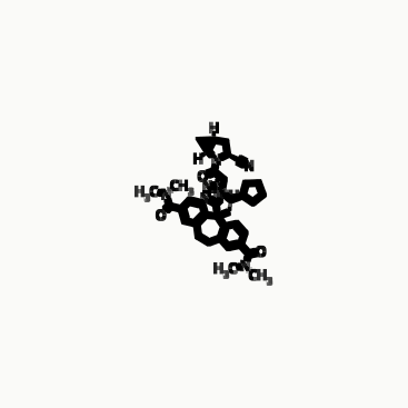 CN(C)C(=O)c1ccc2c(c1)CCc1cc(C(=O)N(C)C)ccc1C2(C[C@H](NCC(=O)N1[C@H](C#N)C[C@@H]2C[C@@H]21)C1CCCC1)c1nnn[nH]1